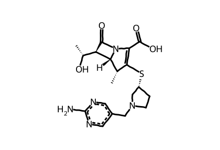 C[C@@H](O)[C@H]1C(=O)N2C(C(=O)O)=C(S[C@@H]3CCN(Cc4cnc(N)nc4)C3)[C@H](C)[C@H]12